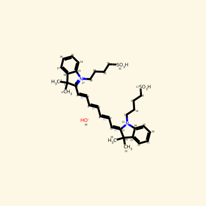 CC1(C)C(/C=C/C=C/C=C/C=C2\N(CCCCS(=O)(=O)O)c3ccccc3C2(C)C)=[N+](CCCCS(=O)(=O)O)c2ccccc21.[OH-]